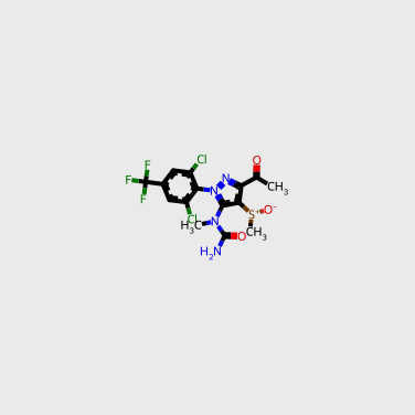 CC(=O)c1nn(-c2c(Cl)cc(C(F)(F)F)cc2Cl)c(N(C)C(N)=O)c1[S+](C)[O-]